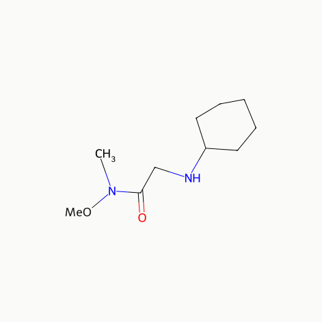 CON(C)C(=O)CNC1CCCCC1